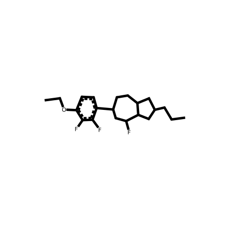 CCCC1CC2CCC(c3ccc(OCC)c(F)c3F)CC(F)C2C1